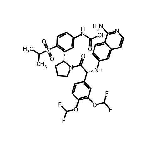 CC(C)S(=O)(=O)c1ccc(NC(=O)O)cc1[C@H]1CCCN1C(=O)[C@H](Nc1ccc2c(N)nccc2c1)c1ccc(OC(F)F)c(OC(F)F)c1